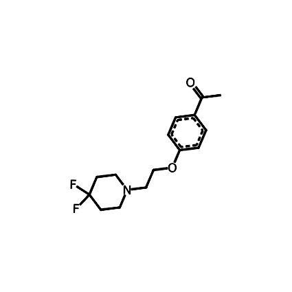 CC(=O)c1ccc(OCCN2CCC(F)(F)CC2)cc1